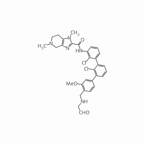 COc1cc(-c2cccc(-c3cccc(NC(=O)c4nc5c(n4C)CCN(C)C5)c3Cl)c2Cl)ccc1CNCC=O